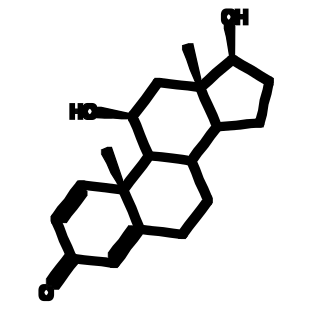 C[C@]12C=CC(=O)C=C1CCC1C2[C@@H](O)C[C@@]2(C)C1CC[C@@H]2O